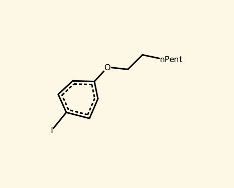 CCC[CH]CCCOc1ccc(I)cc1